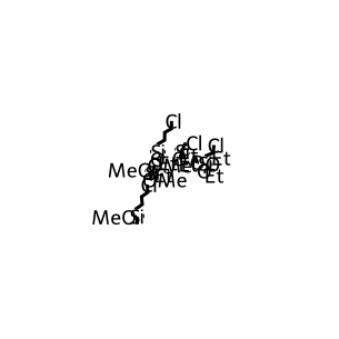 CCO[Si](C)(C)CCCCCl.CCO[Si](C)(C)CCl.CCO[Si](CCCl)(OCC)OCC.CC[Si](OC)(OC)OC.CO[Si](C)(C)CCCCCl